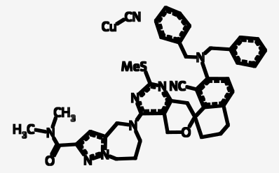 CSc1nc2c(c(N3CCCn4nc(C(=O)N(C)C)cc4C3)n1)COC1(CCCc3ccc(N(Cc4ccccc4)Cc4ccccc4)c(C#N)c31)C2.N#[C][Cu]